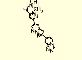 C=N/C=C\c1cc(-c2cnn3nc(-c4ccn5cnnc5c4)cc3c2)nn1C